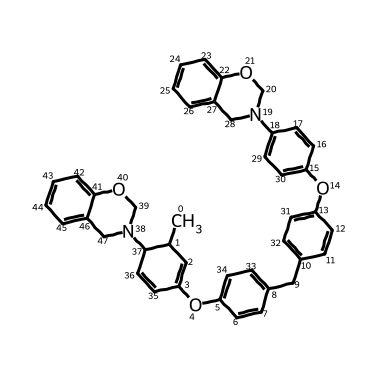 CC1C=C(Oc2ccc(Cc3ccc(Oc4ccc(N5COc6ccccc6C5)cc4)cc3)cc2)C=CC1N1COc2ccccc2C1